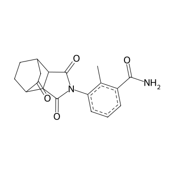 Cc1c(C(N)=O)cccc1N1C(=O)C2C3CCC(C(=O)C3)C2C1=O